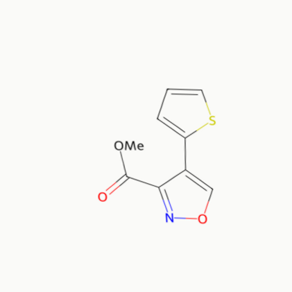 COC(=O)c1nocc1-c1cccs1